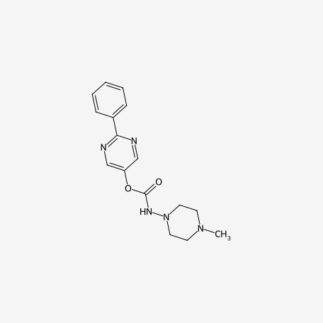 CN1CCN(NC(=O)Oc2cnc(-c3ccccc3)nc2)CC1